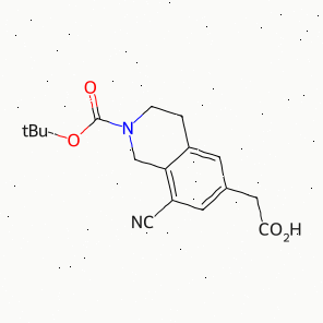 CC(C)(C)OC(=O)N1CCc2cc(CC(=O)O)cc(C#N)c2C1